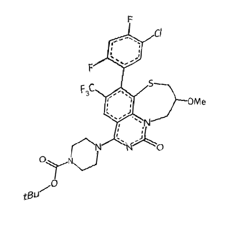 COC1CSc2c(-c3cc(Cl)c(F)cc3F)c(C(F)(F)F)cc3c(N4CCN(C(=O)OC(C)(C)C)CC4)nc(=O)n(c23)C1